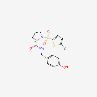 O=C(NCc1ccc(O)cc1)[C@@H]1CCCN1S(=O)(=O)c1ccc(Cl)s1